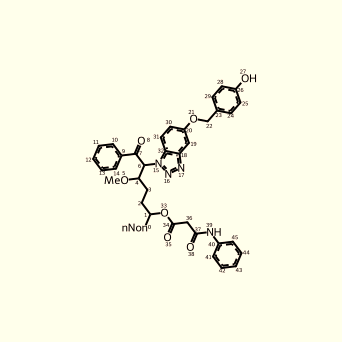 CCCCCCCCCC(CCC(OC)C(C(=O)c1ccccc1)n1nnc2cc(OCc3ccc(O)cc3)ccc21)OC(=O)CC(=O)Nc1ccccc1